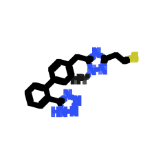 CCCn1nc(CC=S)nc1Cc1ccc(-c2ccccc2-c2nnn[nH]2)cc1